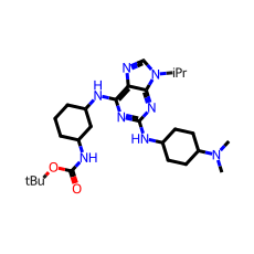 CC(C)n1cnc2c(NC3CCCC(NC(=O)OC(C)(C)C)C3)nc(NC3CCC(N(C)C)CC3)nc21